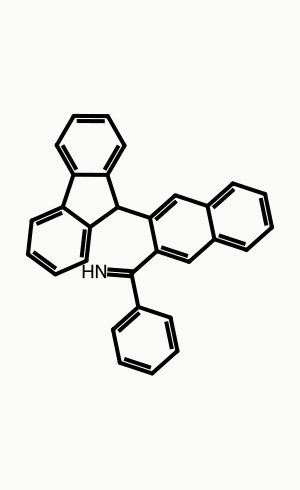 N=C(c1ccccc1)c1cc2ccccc2cc1C1c2ccccc2-c2ccccc21